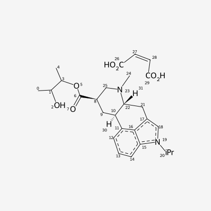 CC(O)C(C)OC(=O)[C@@H]1C[C@@H]2c3cccc4c3c(cn4C(C)C)C[C@H]2N(C)C1.O=C(O)/C=C\C(=O)O